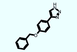 c1ccc(COc2ccc(-c3c[nH]nn3)cc2)cc1